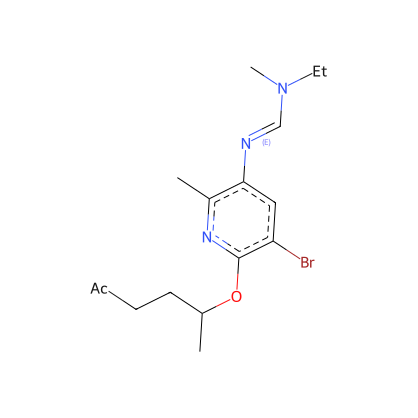 CCN(C)/C=N/c1cc(Br)c(OC(C)CCC(C)=O)nc1C